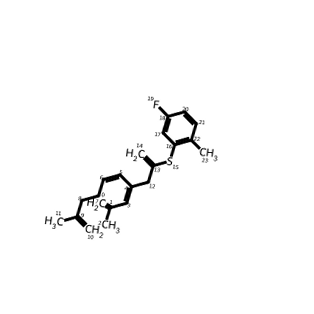 C=C(C)/C=C(\C=C/CCC(=C)C)CC(=C)Sc1cc(F)ccc1C